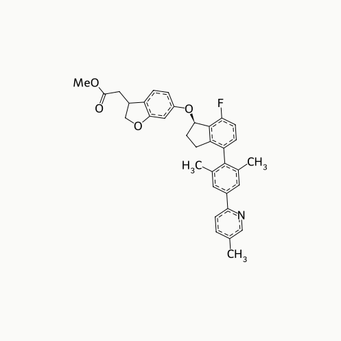 COC(=O)CC1COc2cc(O[C@@H]3CCc4c(-c5c(C)cc(-c6ccc(C)cn6)cc5C)ccc(F)c43)ccc21